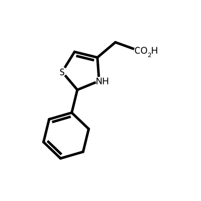 O=C(O)CC1=CSC(C2=CC=CCC2)N1